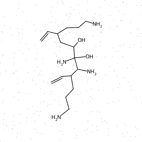 C=CC(CCCN)CC(O)C(N)(O)C(N)C(C=C)CCCN